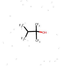 OC(C(C(F)(F)F)C(F)(F)F)(C(F)(F)F)C(F)(F)F